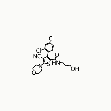 N#Cc1c(N2CCOCC2)sc(C(=O)NCCCO)c1-c1ccc(Cl)cc1Cl